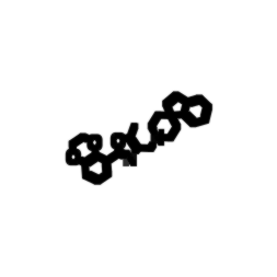 Cc1oc(-c2cccc3c2OCCO3)nc1CN1CCC2(C=Cc3ccccc32)CC1